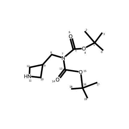 CC(C)(C)OC(=O)N(CC1CNC1)C(=O)OC(C)(C)C